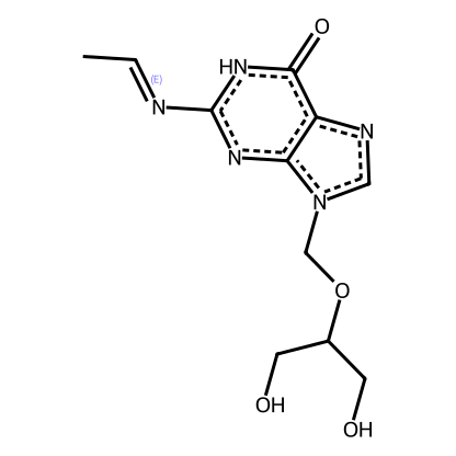 C/C=N/c1nc2c(ncn2COC(CO)CO)c(=O)[nH]1